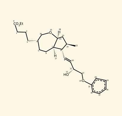 CCOC(=O)CCC[C@H]1CC[C@@H]2[C@@H](/C=C/[C@@H](O)COc3ccccc3)[C@H](C)C[C@@H]2OC1